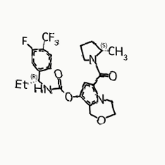 CC[C@@H](NC(=O)Oc1cc(C(=O)N2CCC[C@@H]2C)n2c1COCC2)c1ccc(C(F)(F)F)c(F)c1